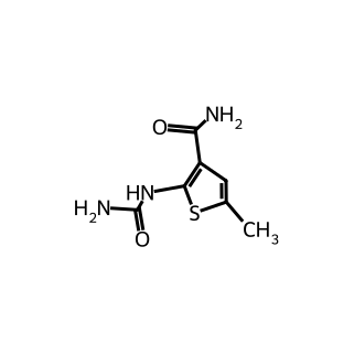 Cc1cc(C(N)=O)c(NC(N)=O)s1